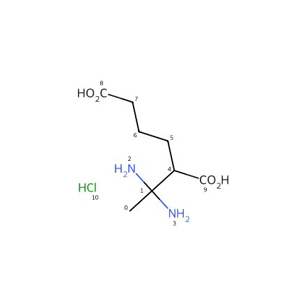 CC(N)(N)C(CCCC(=O)O)C(=O)O.Cl